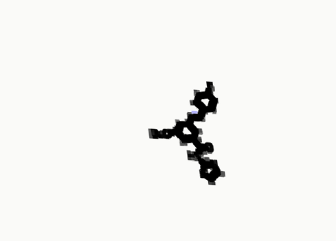 CC(C)COc1cc(/C=C/c2ccc(F)cc2)cc(C(=O)Nc2nccs2)c1